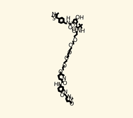 Cc1ncsc1-c1ccc(CNC(=O)[C@@H]2C[C@@H](O)CN2C(=O)[C@@H](NC(=O)CCOCCOCCOCCOCCOCCOc2ccc(C(=O)Nc3ccc4oc(-c5ccc(=O)n(C)n5)nc4c3)nc2)C(C)(C)C)cc1